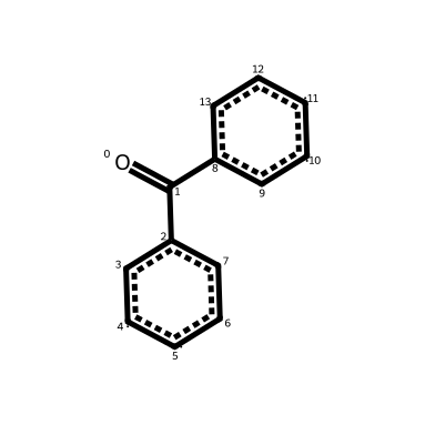 O=C(c1c[c][c]cc1)c1c[c][c]cc1